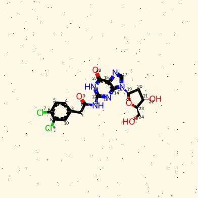 O=C(Cc1ccc(Cl)c(Cl)c1)Nc1nc2c(ncn2[C@H]2C[C@H](O)[C@@H](CO)O2)c(=O)[nH]1